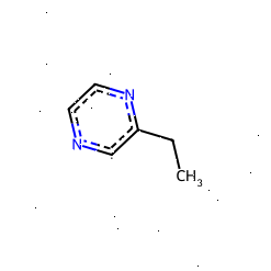 CCc1[c]nccn1